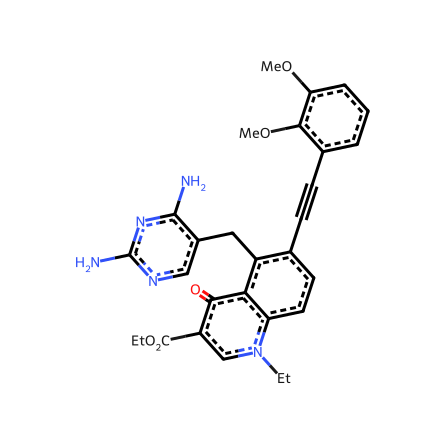 CCOC(=O)c1cn(CC)c2ccc(C#Cc3cccc(OC)c3OC)c(Cc3cnc(N)nc3N)c2c1=O